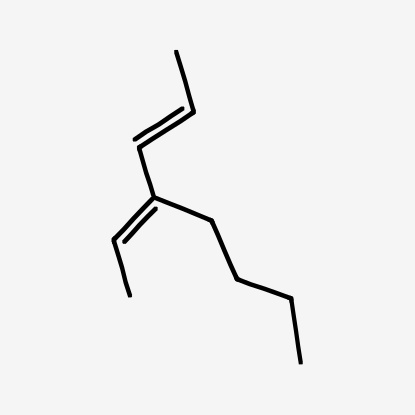 C/C=C/C(=C/C)CCCC